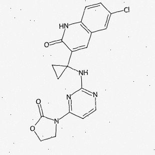 O=C1OCCN1c1ccnc(NC2(c3cc4cc(Cl)ccc4[nH]c3=O)CC2)n1